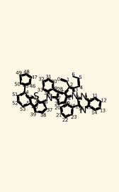 C=Cc1c(/C=C\C)n(-c2nc3ccccc3nc2-c2ccccc2)c2ccc3c(c4ccccc4n3-c3cccc4c3sc3c(-c5ccccc5)cccc34)c12